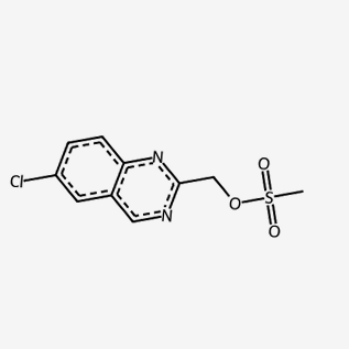 CS(=O)(=O)OCc1ncc2cc(Cl)ccc2n1